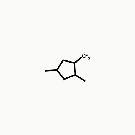 CC1CC(C)C(C(F)(F)F)C1